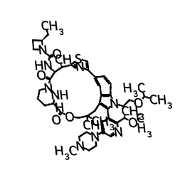 CC[C@@H]1CCN1C(=O)N[C@@H]1C(=O)N2CCC[C@H](N2)C(=O)OCC(C)(C)Cc2c(-c3cc(N4CCN(C)CC4)cnc3[C@H](C)OC)n(CCOC(C)C)c3ccc(cc23)-c2csc(n2)[C@H]1C